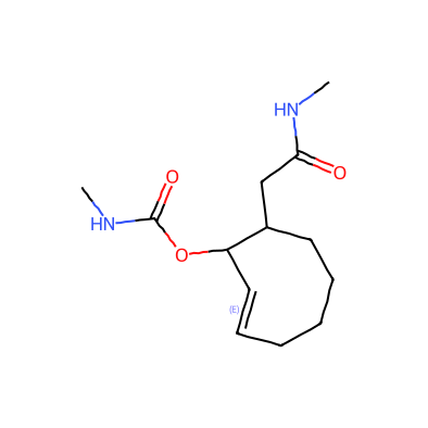 CNC(=O)CC1CCCC/C=C/C1OC(=O)NC